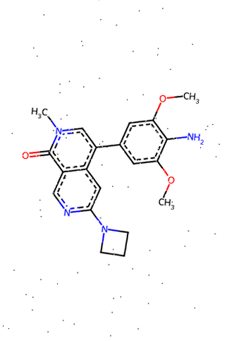 COc1cc(-c2cn(C)c(=O)c3cnc(N4CCC4)cc23)cc(OC)c1N